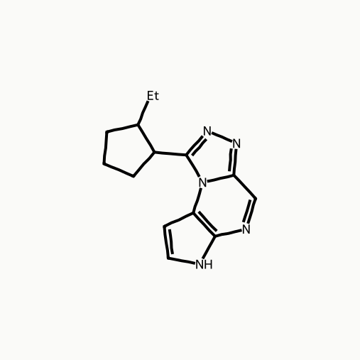 CCC1CCCC1c1nnc2cnc3[nH]ccc3n12